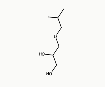 C[C](C)COCC(O)CO